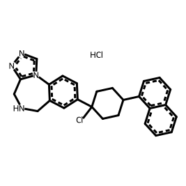 Cl.ClC1(c2ccc3c(c2)CNCc2nncn2-3)CCC(c2cccc3ccccc23)CC1